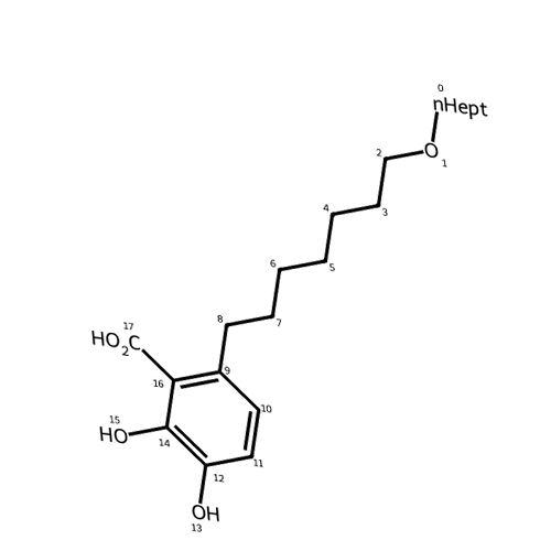 CCCCCCCOCCCCCCCc1ccc(O)c(O)c1C(=O)O